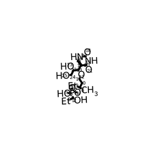 CCC(O)P(=O)(O)OC(C)(CC)CCO[C@@H](c1c[nH]c(=O)[nH]c1=O)[C@H](O)CO